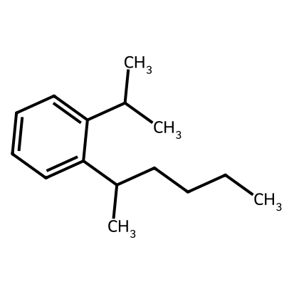 CCCCC(C)c1ccccc1C(C)C